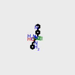 Cl.Cl.Cl.NC(Cc1ccccc1)C(O)CN(N)Cc1ccc(-c2ccccn2)cc1